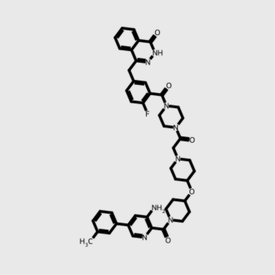 Cc1cccc(-c2cnc(C(=O)N3CCC(OC4CCN(CC(=O)N5CCN(C(=O)c6cc(Cc7n[nH]c(=O)c8ccccc78)ccc6F)CC5)CC4)CC3)c(N)c2)c1